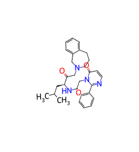 CC(C)C[C@H](NC(=O)Cn1c(-c2ccccc2)nccc1=O)C(=O)CN1CCCc2ccccc2C1